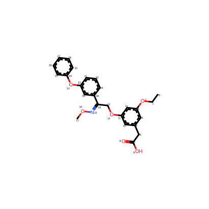 CCOc1cc(CC(=O)O)cc(OCC(=NOC)c2cccc(Oc3ccccc3)c2)c1